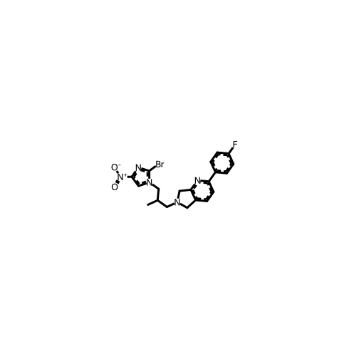 CC(CN1Cc2ccc(-c3ccc(F)cc3)nc2C1)Cn1cc([N+](=O)[O-])nc1Br